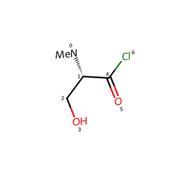 CN[C@@H](CO)C(=O)Cl